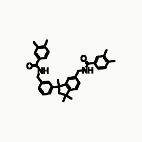 Cc1ccc(C(=O)NCc2cccc(C3(C)CC(C)(C)c4ccc(CNC(=O)c5ccc(C)c(C)c5)cc43)c2)cc1C